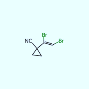 N#CC1(C(Br)=CBr)CC1